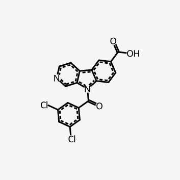 O=C(O)c1ccc2c(c1)c1ccncc1n2C(=O)c1cc(Cl)cc(Cl)c1